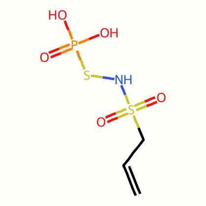 C=CCS(=O)(=O)NSP(=O)(O)O